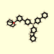 c1ccc(-c2ccc(N(c3ccc(-c4cccc(N5C6CC7CC(C6)CC5C7)c4)cc3)c3ccc4c(c3)oc3ccccc34)cc2)cc1